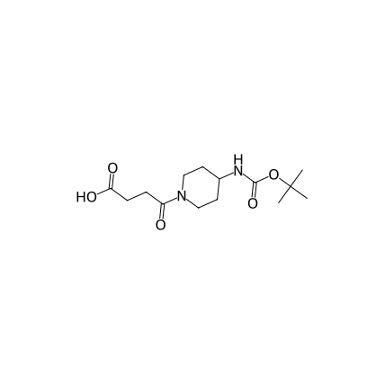 CC(C)(C)OC(=O)NC1CCN(C(=O)CCC(=O)O)CC1